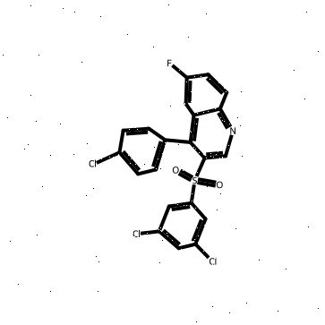 O=S(=O)(c1cc(Cl)cc(Cl)c1)c1cnc2ccc(F)cc2c1-c1ccc(Cl)cc1